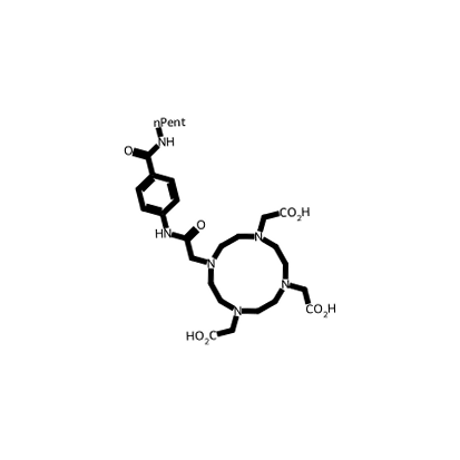 CCCCCNC(=O)c1ccc(NC(=O)CN2CCN(CC(=O)O)CCN(CC(=O)O)CCN(CC(=O)O)CC2)cc1